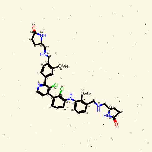 COc1cc(-c2nccc(-c3cccc(Nc4cccc(CNCC5CCC(=O)N5)c4OC)c3Cl)c2Cl)ccc1CNCC1CCC(=O)N1